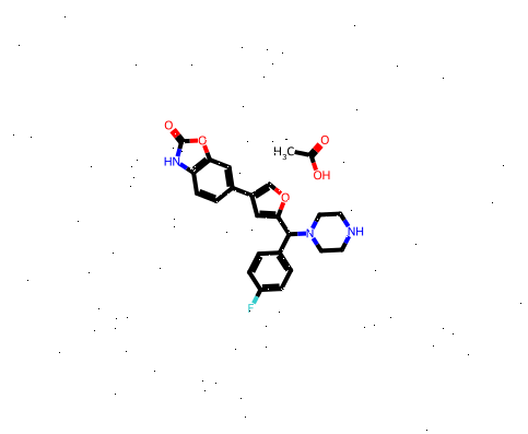 CC(=O)O.O=c1[nH]c2ccc(-c3coc(C(c4ccc(F)cc4)N4CCNCC4)c3)cc2o1